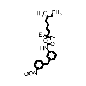 C=CC(C)CC/C=C/C(CC)(CC)OC(=O)Nc1cccc(Cc2cccc(N=C=O)c2)c1